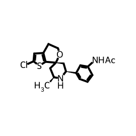 CC(=O)Nc1cccc([C@@H]2C[C@]3(C[C@H](C)N2)OCCc2cc(Cl)sc23)c1